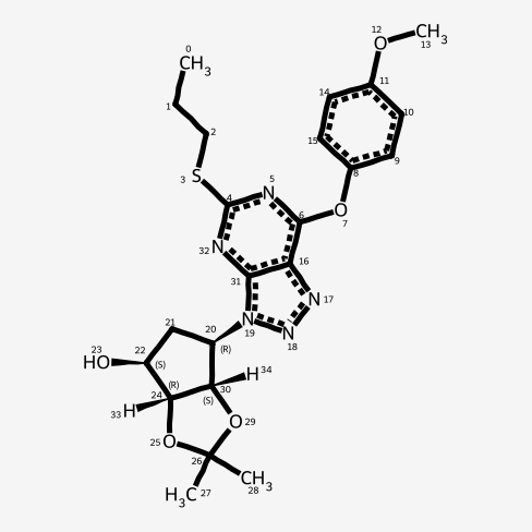 CCCSc1nc(Oc2ccc(OC)cc2)c2nnn([C@@H]3C[C@H](O)[C@H]4OC(C)(C)O[C@H]43)c2n1